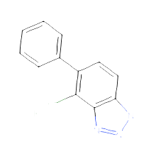 Cl.Clc1c(-c2ccccc2)ccc2[nH]nnc12